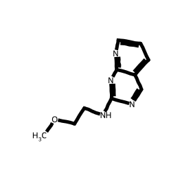 COCCNc1ncc2cccnc2n1